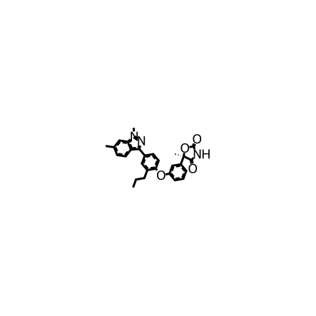 CCCc1cc(-c2nn(C)c3cc(C)ccc23)ccc1Oc1cccc([C@@]2(C)OC(=O)NC2=O)c1